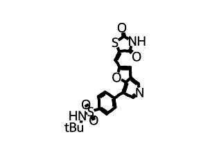 CC(C)(C)NS(=O)(=O)c1ccc(-c2cncc3cc(C=C4SC(=O)NC4=O)oc23)cc1